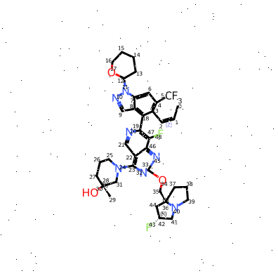 C/C=C\c1c(C(F)(F)F)cc2c(cnn2C2CCCCO2)c1-c1ncc2c(N3CCC[C@@](C)(O)C3)nc(OC[C@@]34CCCN3C[C@H](F)C4)nc2c1F